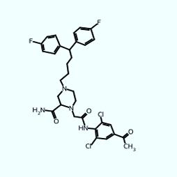 CC(=O)c1cc(Cl)c(NC(=O)CN2CCN(CCCCC(c3ccc(F)cc3)c3ccc(F)cc3)CC2C(N)=O)c(Cl)c1